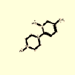 CC1=CC=C(N2CCN(C(C)C)CC2)N(O)C1